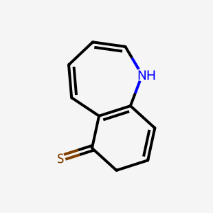 S=C1CC=CC2=C1C=CC=CN2